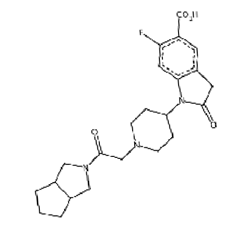 O=C(O)c1cc2c(cc1F)N(C1CCN(CC(=O)N3CC4CCCC4C3)CC1)C(=O)C2